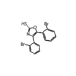 Sc1nc(-c2ccccc2Br)c(-c2ccccc2Br)o1